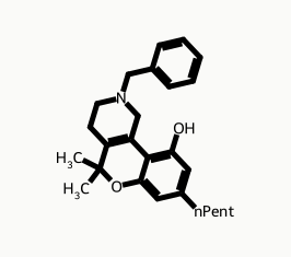 CCCCCc1cc(O)c2c(c1)OC(C)(C)C1=C2CN(Cc2ccccc2)CC1